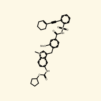 COc1cc(C(=O)NS(=O)(=O)c2ccccc2C#CC2=CCCCC2)ccc1Cc1cn(C)c2ccc(NC(=O)OC3CCCC3)cc12